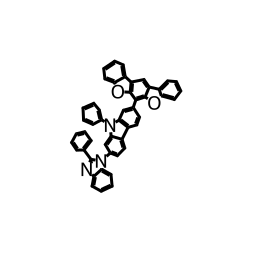 c1ccc(-c2nc3ccccc3n2-c2ccc3c4ccc(-c5c6oc7ccccc7c6cc6c5oc5ccccc56)cc4n(-c4ccccc4)c3c2)cc1